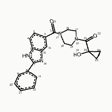 O=C(c1ccc2[nH]c(-c3ccccc3)nc2c1)N1CCN(C(=O)C2(O)CC2)CC1